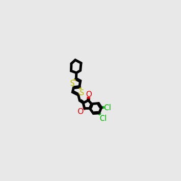 O=C1C(=Cc2cc3sc(C4CCCCC4)cc3s2)C(=O)c2cc(Cl)c(Cl)cc21